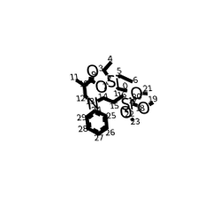 CC[Si](CC)(CC)OC(=O)C(C)CN(CCC[Si](OC)(OC)OC)c1ccccc1